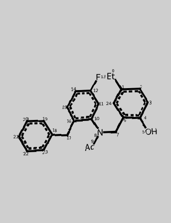 CCc1ccc(O)c(CN(C(C)=O)c2cc(F)ccc2Cc2ccccc2)c1